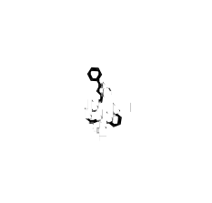 Nc1cccc(Nc2nc(NCC3CC(c4ccccc4)=NO3)ncc2Br)n1